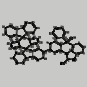 CCc1nc2cccc3c2n1-c1cc(-c2ccc4c(c2)C2(c5ccccc5-4)c4ccccc4C4(c5ccccc5-c5ccccc54)c4ccccc42)ccc1P3(=O)c1ccccc1